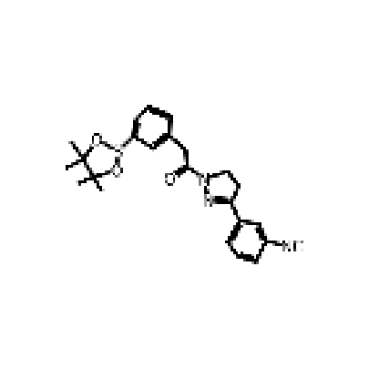 [C-]#[N+]c1cccc(C2=NN(C(=O)Cc3cccc(B4OC(C)(C)C(C)(C)O4)c3)CC2)c1